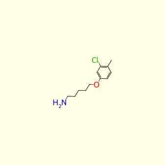 Cc1ccc(OCCCCCN)cc1Cl